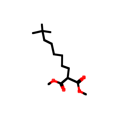 COC(=O)C(CCCCCCC(C)(C)C)C(=O)OC